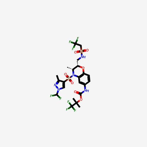 Cc1nn(C(F)F)cc1S(=O)(=O)N1c2cc(NC(=O)OC(C)(C)C(F)(F)F)ccc2O[C@@H](CNS(=O)(=O)CC(F)(F)F)[C@H]1C